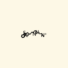 C[N+](C)(C)CCCN1C=C/C(=C/C=C2\Cc3sc4ccccc4[n+]3C2)N=C1